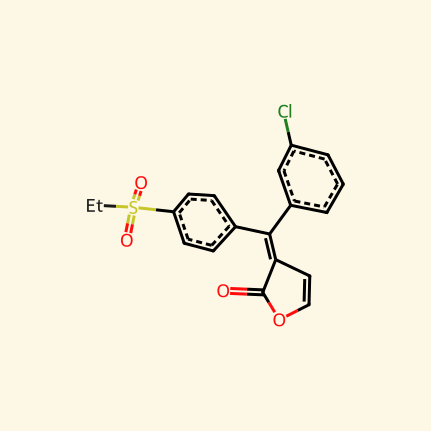 CCS(=O)(=O)c1ccc(C(=C2C=COC2=O)c2cccc(Cl)c2)cc1